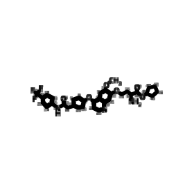 COc1cc2c(Oc3ccc(CC(=O)Nc4ccc(C(F)(F)F)cc4)cc3)ccnc2cc1OCCC(N)C(=O)OC1CCCC1